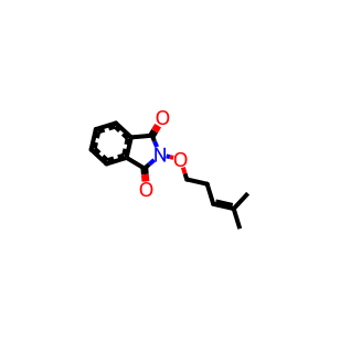 CC(C)=CCCON1C(=O)c2ccccc2C1=O